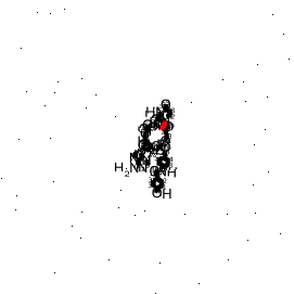 Nc1ncnc2c1ncn2[C@@H]1O[C@@H]2COP(=O)(O)O[C@@H]3[C@H](F)C(COP(=O)(SCc4ccc(NC(=O)c5ccc(O)cc5)cc4)O[C@H]2[C@H]1F)O[C@H]3n1ccc(=O)[nH]c1=O